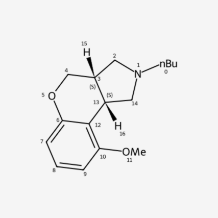 [CH2]CCCN1C[C@H]2COc3cccc(OC)c3[C@H]2C1